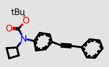 CC(C)(C)OC(=O)N(c1ccc(C#Cc2ccccc2)cc1)C1CCC1